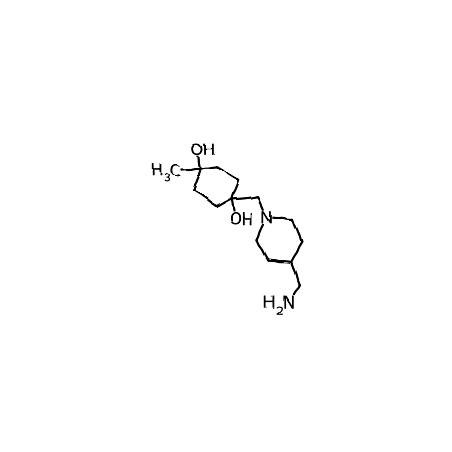 CC1(O)CCC(O)(CN2CCC(CN)CC2)CC1